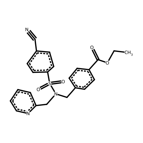 CCOC(=O)c1ccc(CN(Cc2ccccn2)S(=O)(=O)c2ccc(C#N)cc2)cc1